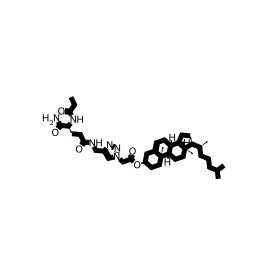 CCC(=O)N[C@H](CCC(=O)NCc1cn(CC(=O)O[C@H]2CC[C@@]3(C)C(=CC[C@H]4[C@@H]5CC[C@H]([C@H](C)CCCC(C)C)[C@@]5(C)CC[C@@H]43)C2)nn1)C(N)=O